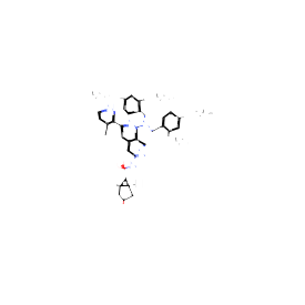 COc1ccc(CN(Cc2ccc(OC)cc2OC)c2nc(-c3cnccc3C)cc3cc(NC(=O)[C@@H]4[C@@H]5CC(O)C[C@@H]54)ncc23)c(OC)c1